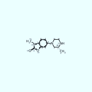 C[C@@H]1CN(c2ccc3c(c2)oc(=O)n3C)CCN1